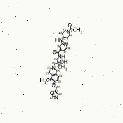 CC(=O)N1CCC(Nc2cc(C(=O)NCC(C)(O)CN3CCc4c(ccc(OCc5cnco5)c4C)C3)ccn2)CC1